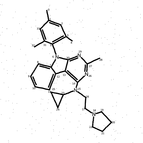 Cc1cc(C)c(-n2c3ccccc3c3c(N(CCN4CCCC4)C4CC4)nc(C)nc32)c(C)c1